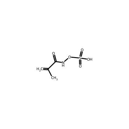 C=C(C)C(=O)NOS(=O)(=O)O